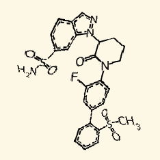 CS(=O)(=O)c1ccccc1-c1ccc(N2CCCC(n3ncc4ccc(S(N)(=O)=O)cc43)C2=O)c(F)c1